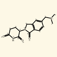 CN(C)Cc1ccc2c(c1)CN(C1CCC(=O)NC1=O)C2=O